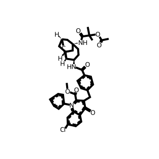 COC(=O)c1c(Cc2ccc(C(=O)N[C@@H]3CC[C@]4(NC(=O)C(C)(C)OC(C)=O)C[C@@H]5C[C@H](C4)[C@@H]3C5)cc2)c(=O)c2ccc(Cl)cc2n1-c1ccccc1